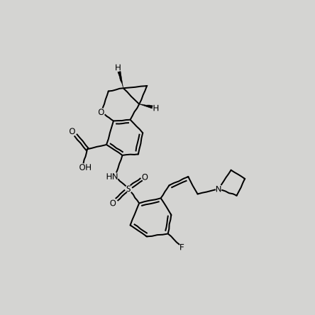 O=C(O)c1c(NS(=O)(=O)c2ccc(F)cc2/C=C\CN2CCC2)ccc2c1OC[C@@H]1C[C@H]21